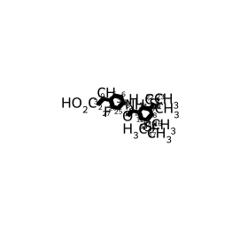 CC(=CC(=O)O)c1ccc(NC(=O)c2cc([Si](C)(C)C)cc([Si](C)(C)C)c2)cc1F